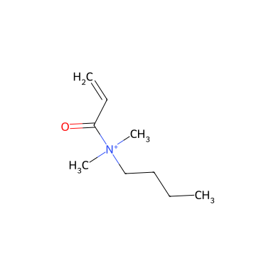 C=CC(=O)[N+](C)(C)CCCC